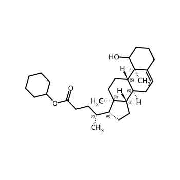 C[C@H](CCC(=O)OC1CCCCC1)[C@H]1CC[C@H]2[C@@H]3CC=C4CCCC(O)[C@]4(C)[C@H]3CC[C@]12C